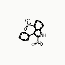 O=[N+]([O-])c1[nH]c2cccc([N+](=O)[O-])c2c1-c1ccccc1